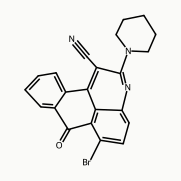 N#Cc1c(N2CCCCC2)nc2ccc(Br)c3c2c1-c1ccccc1C3=O